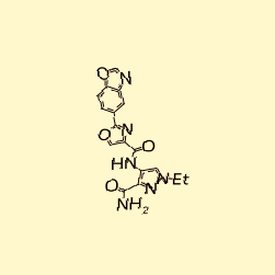 CCn1cc(NC(=O)c2coc(-c3ccc4ocnc4c3)n2)c(C(N)=O)n1